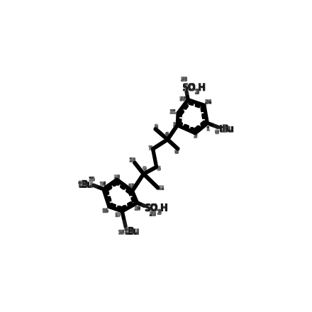 CC(C)(C)c1cc(C(C)(C)CCC(C)(C)c2cc(C(C)(C)C)cc(C(C)(C)C)c2S(=O)(=O)O)cc(S(=O)(=O)O)c1